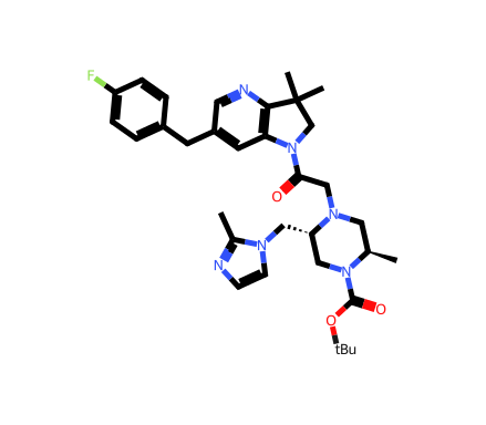 Cc1nccn1C[C@H]1CN(C(=O)OC(C)(C)C)[C@H](C)CN1CC(=O)N1CC(C)(C)c2ncc(Cc3ccc(F)cc3)cc21